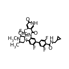 CC1CN(c2cc(F)c(-c3cc(F)c(C(=O)NCC4CC4)c(F)c3)cc2NC(=O)c2c[nH]c(=O)cc2C(F)(F)F)CC(C)N1C